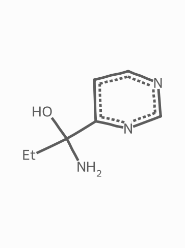 CCC(N)(O)c1ccncn1